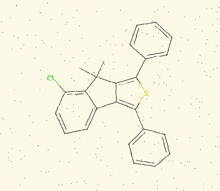 CC1(C)c2c(Cl)cccc2-c2c(-c3ccccc3)sc(-c3ccccc3)c21